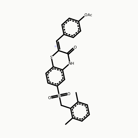 CC(=O)Oc1ccc(/C=C2/Sc3ccc(S(=O)(=O)Cc4c(C)cccc4C)cc3NC2=O)cc1